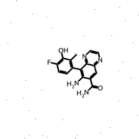 Cc1c(-c2c(N)c(C(N)=O)cc3nccnc23)ccc(F)c1O